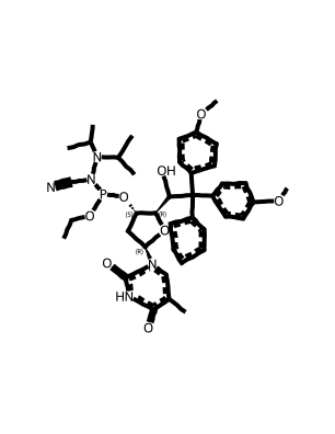 CCOP(O[C@H]1C[C@H](n2cc(C)c(=O)[nH]c2=O)O[C@@H]1C(O)C(c1ccccc1)(c1ccc(OC)cc1)c1ccc(OC)cc1)N(C#N)N(C(C)C)C(C)C